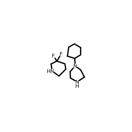 C1CCC(N2CCNCC2)CC1.FC1(F)CCCNC1